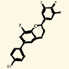 CCc1ccc(-c2cc(F)c3c(c2)CCC(c2cc(F)c(F)c(F)c2)O3)cc1